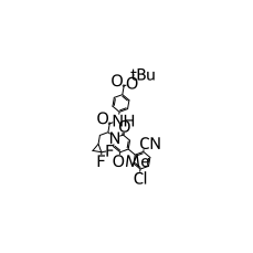 COc1cn(C(CC2CC2(F)F)C(=O)Nc2ccc(C(=O)OC(C)(C)C)cc2)c(=O)cc1-c1cc(Cl)ccc1C#N